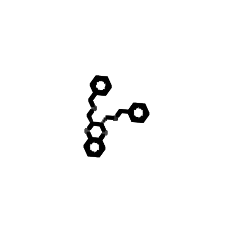 c1ccc(COC[C@@H]2Oc3ccccc3O[C@H]2COCc2ccccc2)cc1